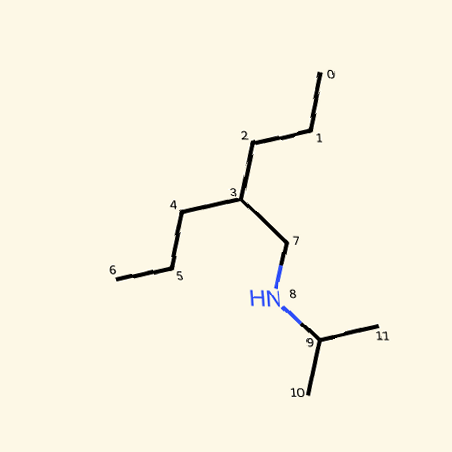 CCCC(CCC)CNC(C)C